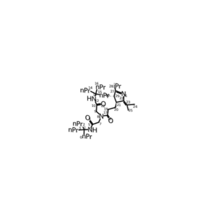 CCCC(CCC)(CCC)NC(=O)CN(CC(=O)NC(CCC)(CCC)CCC)C(=O)CC[C@@H]1C(=C(C)C)N=C(C(C)C)[C@H]1C